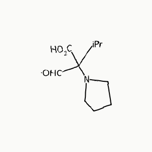 CC(C)C([C]=O)(C(=O)O)N1CCCC1